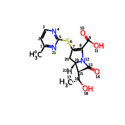 Cc1ccnc(SC2=C(C(=O)O)N3C(=O)[C@@H]([C@@H](C)O)[C@@H]3C2)n1